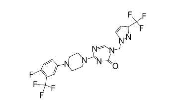 O=c1nc(N2CCN(c3ccc(F)c(C(F)(F)F)c3)CC2)ncn1Cn1ccc(C(F)(F)F)n1